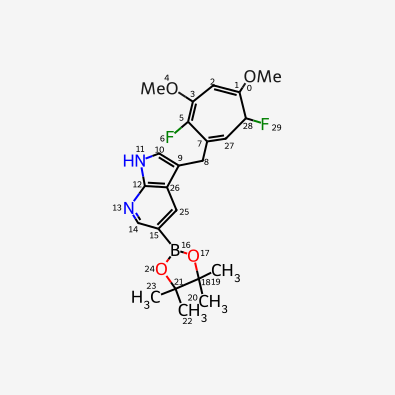 COC1=CC(OC)=C(F)C(Cc2c[nH]c3ncc(B4OC(C)(C)C(C)(C)O4)cc23)=CC1F